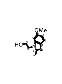 COc1ccc2c(c1)N(CCO)C(C)S2